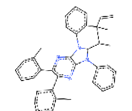 C=CC1(C)c2ccccc2N2c3nc(-c4ccccc4C)c(-c4ccccc4C)nc3N(c3ccccc3)C2C1C